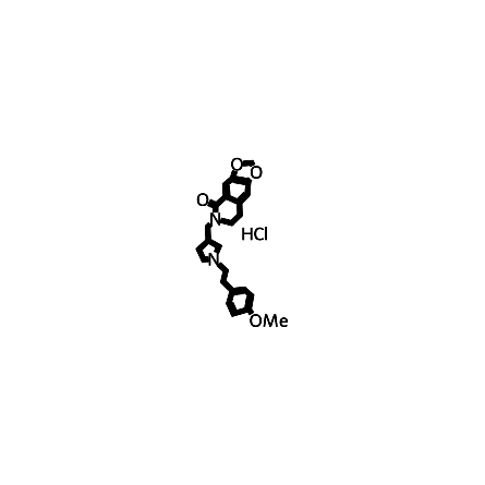 COc1ccc(CCN2CCC(CN3CCc4cc5c(cc4C3=O)OCO5)C2)cc1.Cl